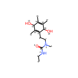 CCNC(=O)N(C)CCC1=C(C)C(O)C(C)=C(C)C1O